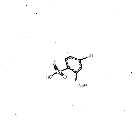 O=S(=O)(O)c1ccc(O)cc1F.[NaH]